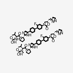 CC(C)[C@@H](C(=O)N1CCC[C@H]1c1ncc(-c2ccc(-c3ccc(N4C[C@H](Cn5ccnn5)OC4=O)cc3F)cc2)[nH]1)N(C)C(=O)O.CC(C)[C@H](NC(=O)O)C(=O)N1CCC[C@H]1c1ncc(-c2ccc(-c3ccc(N4C[C@H](Cn5ccnn5)OC4=O)cc3F)cc2)[nH]1